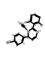 N#CN1C(c2c(F)cccc2F)=NC=CC1c1ccc(Br)cc1